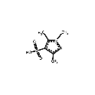 Cc1nn(C)c(C)c1S(=O)(=O)O